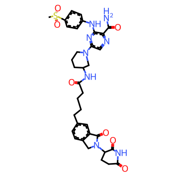 CS(=O)(=O)c1ccc(Nc2nc(N3CCCC(NC(=O)CCCCc4ccc5c(c4)C(=O)N(C4CCC(=O)NC4=O)C5)C3)cnc2C(N)=O)cc1